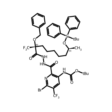 C[C@@H](CCCCC[C@@](OCc1ccccc1)(C(=O)NNC(=O)c1nc(Br)c(C(F)(F)F)cc1NC(=O)OC(C)(C)C)C(F)(F)F)O[Si](c1ccccc1)(c1ccccc1)C(C)(C)C